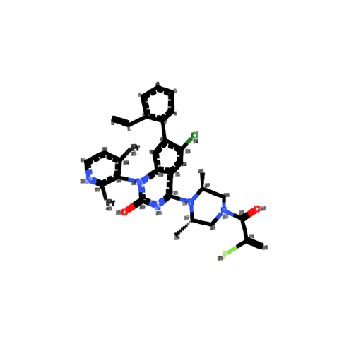 C=Cc1ccccc1-c1cc2c(cc1Cl)c(N1[C@@H](C)CN(C(=O)C(=C)F)C[C@@H]1C)nc(=O)n2-c1c(C(C)C)ccnc1C(C)C